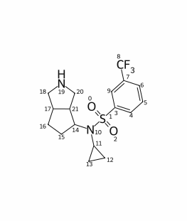 O=S(=O)(c1cccc(C(F)(F)F)c1)N(C1CC1)C1CCC2CNCC21